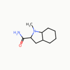 CN1C(C(N)=O)CC2CCCCC21